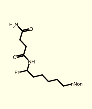 CCCCCCCCCCCCCCC(CC)NC(=O)CCC(N)=O